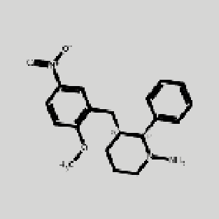 COc1ccc([N+](=O)[O-])cc1C[C@@H]1CCCN(N)[C@@H]1c1ccccc1